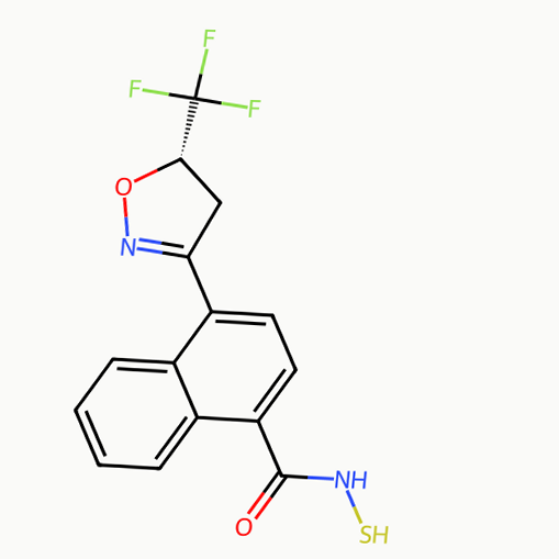 O=C(NS)c1ccc(C2=NO[C@H](C(F)(F)F)C2)c2ccccc12